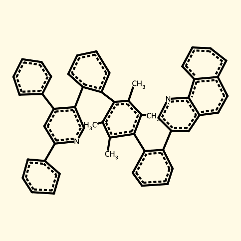 Cc1c(C)c(-c2ccccc2-c2cnc(-c3ccccc3)cc2-c2ccccc2)c(C)c(C)c1-c1ccccc1-c1cnc2c(ccc3ccccc32)c1